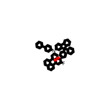 Fc1cccc(-c2cccc3cccc(-c4cccc(N(c5ccc(-c6ccccc6)cc5)c5ccc6c(c5)C(c5ccccc5)(c5ccccc5)c5ccccc5-6)c4)c23)c1